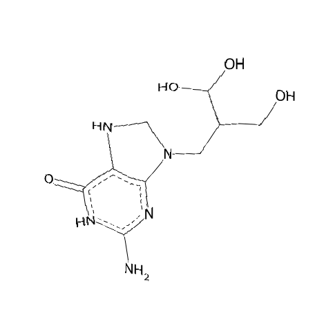 Nc1nc2c(c(=O)[nH]1)NCN2CC(CO)C(O)O